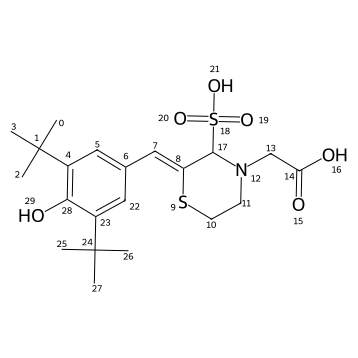 CC(C)(C)c1cc(C=C2SCCN(CC(=O)O)C2S(=O)(=O)O)cc(C(C)(C)C)c1O